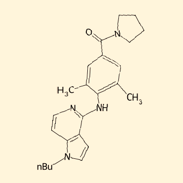 CCCCn1ccc2c(Nc3c(C)cc(C(=O)N4CCCC4)cc3C)nccc21